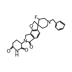 O=C1CCC(N2Cc3c(ccc4c3OCC43CCN(Cc4ccccc4)CC3F)C2=O)C(=O)N1